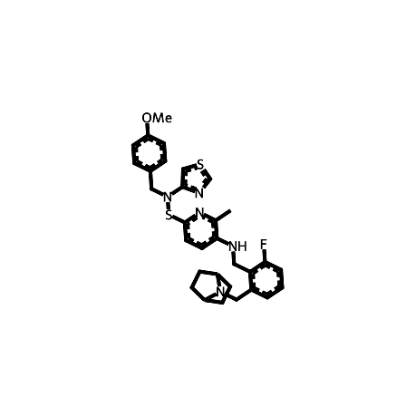 COc1ccc(CN(Sc2ccc(NCc3c(F)cccc3CN3C4CCC3CC4)c(C)n2)c2cscn2)cc1